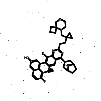 C#Cc1c(F)ccc2cc(O)cc(-c3c(C#N)cc4c(N5CC6CCC(C5)N6)nc(OCC5(CN6CCOCC67CCC7)CC5)nc4c3F)c12